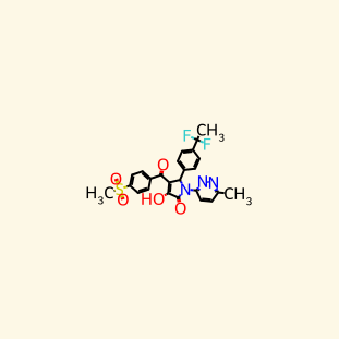 Cc1ccc(N2C(=O)C(O)=C(C(=O)c3ccc(S(C)(=O)=O)cc3)C2c2ccc(C(C)(F)F)cc2)nn1